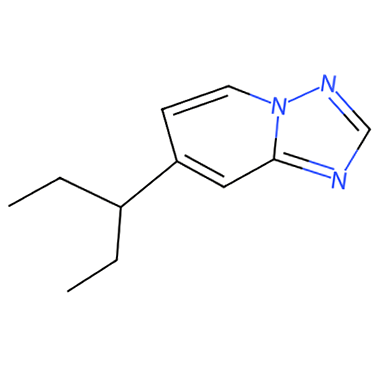 CCC(CC)c1ccn2ncnc2c1